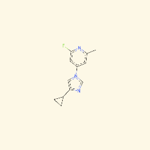 Cc1cc(-n2cnc(C3CC3)c2)cc(F)n1